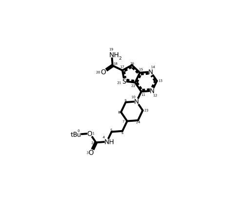 CC(C)(C)OC(=O)NCCC1CCN(c2ncnc3cc(C(N)=O)sc23)CC1